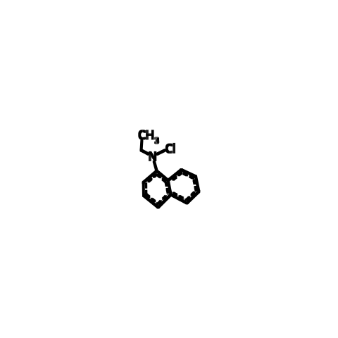 CCN(Cl)c1cccc2ccccc12